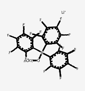 CCCCCCCCO[B-](c1c(F)c(F)c(F)c(F)c1F)(c1c(F)c(F)c(F)c(F)c1F)c1c(F)c(F)c(F)c(F)c1F.[Li+]